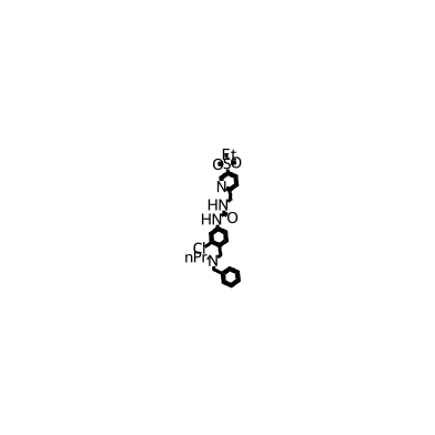 CCCN(Cc1ccccc1)Cc1ccc(NC(=O)NCc2ccc(S(=O)(=O)CC)cn2)cc1Cl